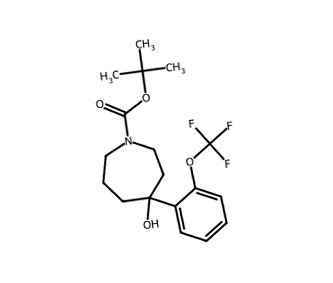 CC(C)(C)OC(=O)N1CCCC(O)(c2ccccc2OC(F)(F)F)CC1